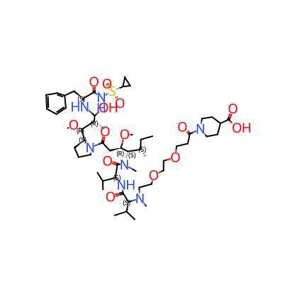 CC[C@H](C)[C@@H]([C@@H](CC(=O)N1CCC[C@H]1[C@H](OC)[C@@H](C)C(O)N[C@@H](Cc1ccccc1)C(=O)NS(=O)(=O)C1CC1)OC)N(C)C(=O)[C@@H](NC(=O)[C@H](C(C)C)N(C)CCOCCOCCC(=O)N1CCC(C(=O)O)CC1)C(C)C